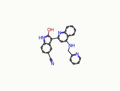 N#Cc1ccc2[nH]c(O)c(-c3cc(NCc4ccccn4)c4ccccc4n3)c2c1